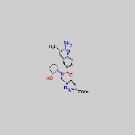 COc1ccc(CN(C(=O)c2ccc3nc(N)c(C)cc3c2)[C@@H]2CCC[C@H]2O)nn1